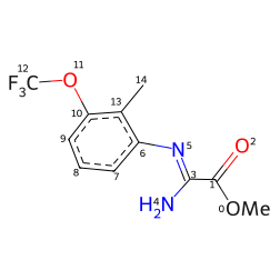 COC(=O)/C(N)=N/c1cccc(OC(F)(F)F)c1C